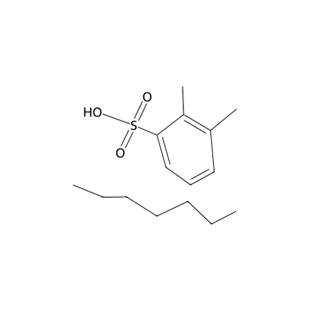 CCCCCCC.Cc1cccc(S(=O)(=O)O)c1C